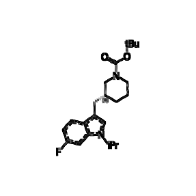 CC(C)n1cc(C[C@H]2CCCN(C(=O)OC(C)(C)C)C2)c2ccc(F)cc21